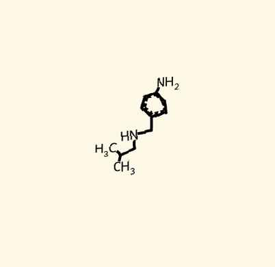 CC(C)CNCc1ccc(N)cc1